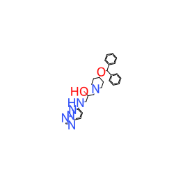 OC(CNc1ccc2ncnn2n1)CN1CCC(OC(c2ccccc2)c2ccccc2)CC1